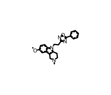 COc1ccc2c(c1)c1c(n2CCc2noc(-c3ccccc3)n2)CCN(C)C1